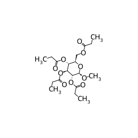 CCC(=O)OC[C@H]1O[C@@H](OC)[C@H](OC(=O)CC)[C@@H](OC(=O)CC)[C@@H]1OC(=O)CC